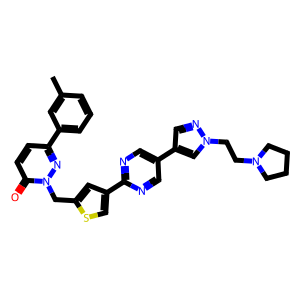 Cc1cccc(-c2ccc(=O)n(Cc3cc(-c4ncc(-c5cnn(CCN6CCCC6)c5)cn4)cs3)n2)c1